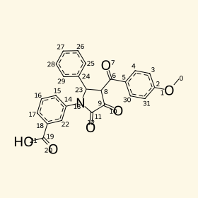 COc1ccc(C(=O)C2C(=O)C(=O)N(c3cccc(C(=O)O)c3)C2c2ccccc2)cc1